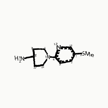 CSc1ccc(N2CCC(N)CC2)nc1